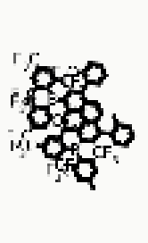 Cc1cc(C(F)(F)F)c(B(c2c(C)cc(C(F)(F)F)cc2C(F)(F)F)c2cc(-c3ccccc3C)c3ccc4c(-c5ccccc5C(F)(F)F)cc(B(c5c(C(F)(F)F)cc(C(F)(F)F)cc5C(F)(F)F)c5c(C(F)(F)F)cc(C(F)(F)F)cc5C(F)(F)F)c5ccc2c3c54)c(C(F)(F)F)c1